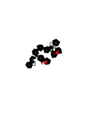 c1ccc(N2c3ccccc3Oc3c2n(-c2ccccc2)c2ccc(-c4cccc(-c5cccc(N(c6ccc7c(c6)oc6ccccc67)c6ccc7c(c6)oc6ccccc67)c5)c4)cc32)cc1